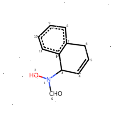 O=CN(O)C1[C]=CCc2ccccc21